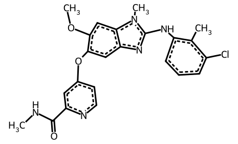 CNC(=O)c1cc(Oc2cc3nc(Nc4cccc(Cl)c4C)n(C)c3cc2OC)ccn1